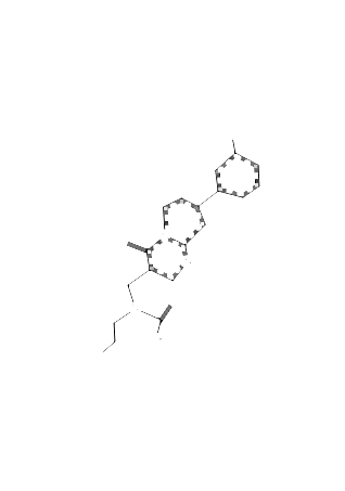 O=C(O)N(CCO)Cc1cnc2cc(-c3cccc(Br)c3)ccn2c1=O